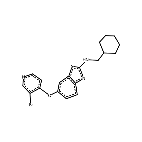 Brc1cnccc1Oc1ccc2nc(NCC3CCCCC3)sc2c1